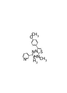 CNC1SC=C(c2ccc(OC)cc2)N1/N=C(\C)c1cccnc1